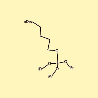 CCCCCCCCCCCCCC[O][Ti]([O]C(C)C)([O]C(C)C)[O]C(C)C